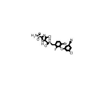 N#Cc1cc(Cl)cc(Oc2c(Br)ccc(CNC(=O)c3[nH]c(S(N)(=O)=O)nc3Cl)c2F)c1